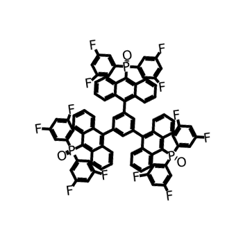 O=P(c1cc(F)cc(F)c1)(c1cc(F)cc(F)c1)c1c2ccccc2c(-c2cc(-c3c4ccccc4c(P(=O)(c4cc(F)cc(F)c4)c4cc(F)cc(F)c4)c4ccccc34)cc(-c3c4ccccc4c(P(=O)(c4cc(F)cc(F)c4)c4cc(F)cc(F)c4)c4ccccc34)c2)c2ccccc12